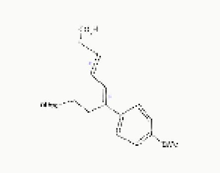 CCCCCCCCCCCC/C(=C\C=C\CC(=O)O)c1ccc(OC)cc1